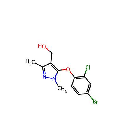 Cc1nn(C)c(Oc2ccc(Br)cc2Cl)c1CO